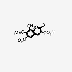 COc1c([N+](=O)[O-])cc2cc(C(=O)O)c(=O)oc2c1C